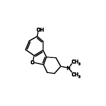 CN(C)C1CCc2oc3ccc(O)cc3c2C1